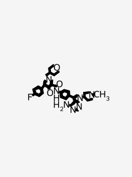 CN1CCC(n2cc(-c3ccc(NC(=O)c4cn(CC5CCOCC5)cc(-c5ccc(F)cc5)c4=O)cc3)c3c(N)ncnc32)CC1